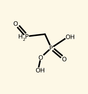 O=[PH2]CP(=O)(O)OO